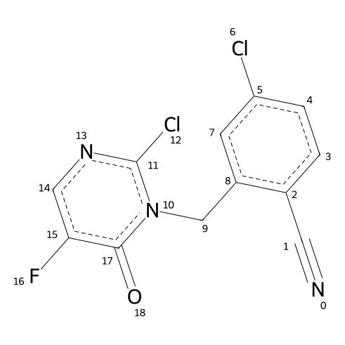 N#Cc1ccc(Cl)cc1Cn1c(Cl)ncc(F)c1=O